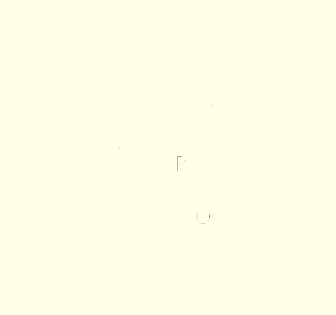 [O-][P+]1=CC=C1